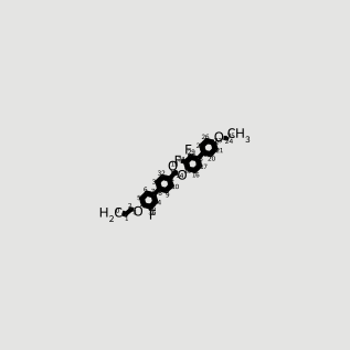 C=CCOc1ccc(-c2ccc(C(=O)Oc3ccc(-c4ccc(OCC)cc4)c(F)c3F)cc2)cc1F